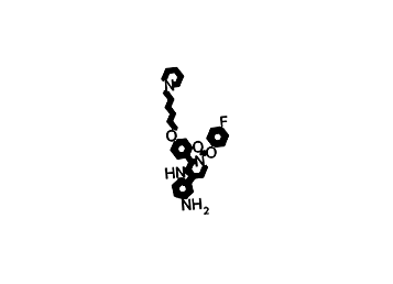 Nc1ccc2[nH]c3c(c2c1)CCN(C(=O)Oc1ccc(F)cc1)C3c1ccc(OCCCCCCN2CCCCC2)cc1